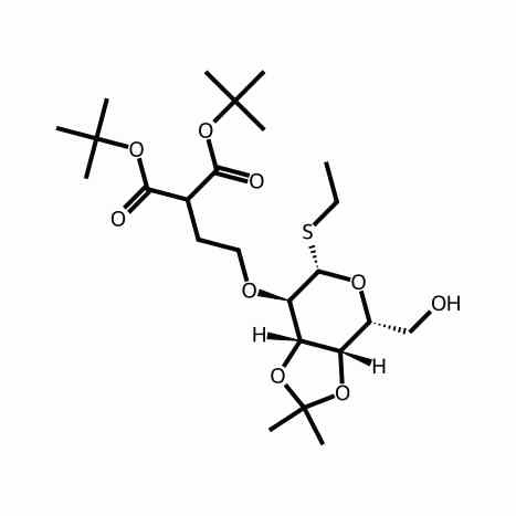 CCS[C@@H]1O[C@H](CO)[C@@H]2OC(C)(C)O[C@@H]2[C@H]1OCCC(C(=O)OC(C)(C)C)C(=O)OC(C)(C)C